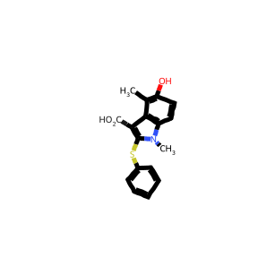 Cc1c(O)ccc2c1c(C(=O)O)c(Sc1ccccc1)n2C